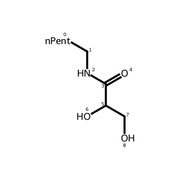 CCCCCCNC(=O)C(O)CO